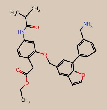 CCOC(=O)Cc1ccc(NC(=O)C(C)C)cc1OCc1cc(-c2cccc(CN)c2)c2occc2c1